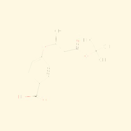 CC(CC(=O)OC(C)(C)C)Oc1ccc(C(=O)O)cc1